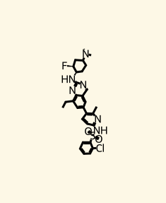 CCc1cc(-c2ccc(NS(=O)(=O)c3ccccc3Cl)nc2C)cc2cnc(N[C@@H]3CCC(N(C)C)C[C@@H]3F)nc12